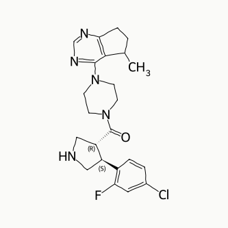 CC1CCc2ncnc(N3CCN(C(=O)[C@H]4CNC[C@@H]4c4ccc(Cl)cc4F)CC3)c21